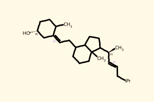 CC(C)C/C=C/[C@H](C)C1CCC2C(C/C=C3/C[C@H](O)CCC3C)CCCC21C